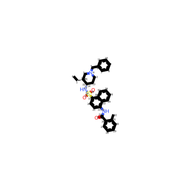 CC[C@@H]1CN(Cc2ccccc2)CC[C@@H]1NS(=O)(=O)c1ccc(NC(=O)c2ccccc2C)c2ccccc12